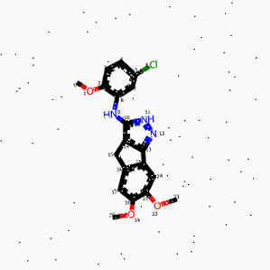 COc1ccc(Cl)cc1Nc1[nH]nc2c1Cc1cc(OC)c(OC)cc1-2